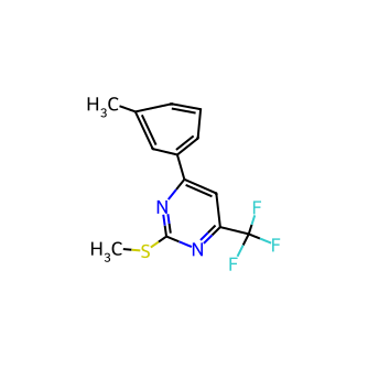 CSc1nc(-c2cccc(C)c2)cc(C(F)(F)F)n1